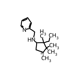 CCC1(C)C(NCc2ccccn2)C[C@@H](C)C1(C)C